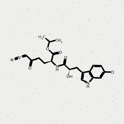 CC(C)OC(=O)[C@H](CCC(=O)C=[N+]=[N-])NC(=O)[C@@H](O)Cc1c[nH]c2cc(Cl)ccc12